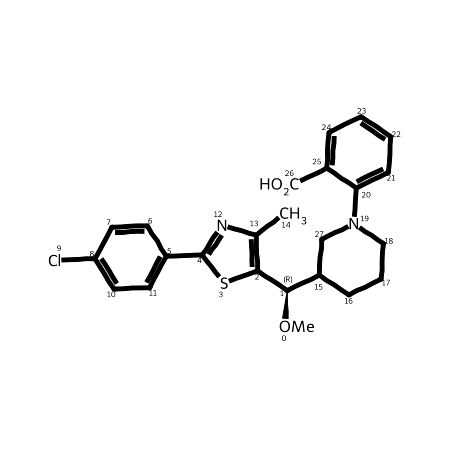 CO[C@@H](c1sc(-c2ccc(Cl)cc2)nc1C)C1CCCN(c2ccccc2C(=O)O)C1